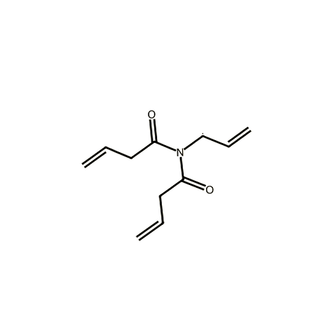 C=C[CH]N(C(=O)CC=C)C(=O)CC=C